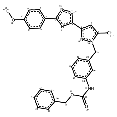 Cc1cc(-c2nc(-c3ccc(OC(F)(F)F)cc3)no2)nn1Cc1cccc(NC(=O)OCc2ccccc2)c1